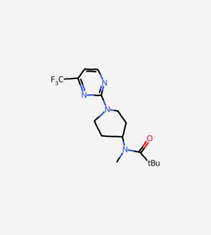 CN(C(=O)C(C)(C)C)C1CCN(c2nccc(C(F)(F)F)n2)CC1